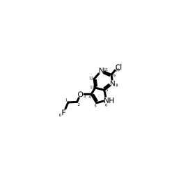 FCCOc1c[nH]c2nc(Cl)ncc12